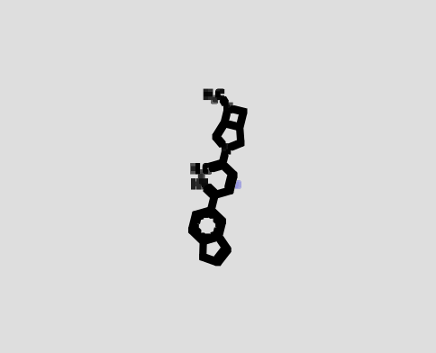 C=C(/C=C\C(=N)c1ccc2c(c1)C=CC2)N1CC2CN(C)C2C1